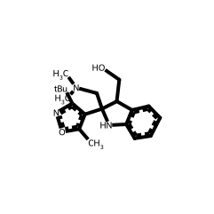 Cc1onc(C(C)(C)C)c1C1(CN(C)C)Nc2ccccc2C1CO